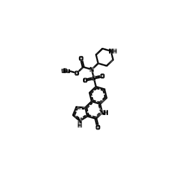 CC(C)(C)OC(=O)N(C1CCNCC1)S(=O)(=O)c1ccc2[nH]c(=O)c3[nH]ccc3c2c1